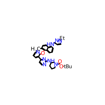 CCn1ccc(Nc2cccc3c(Oc4ncccc4-c4ccnc(NC5CCCN(C(=O)OC(C)(C)C)C5)n4)c(C)ccc23)n1